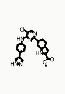 COC(=O)c1cc2ccc(-c3ncc(Cl)c(Nc4ccc(-c5cn[nH]c5)cc4)n3)cc2[nH]1